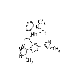 Cc1nnn2c1-c1ccc(-c3cnn(C)c3)cc1C(Nc1ccccc1N(C)C)CC2